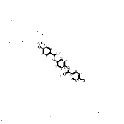 COc1ccc(C(=O)Oc2ccc(OC(=O)c3ccc(O)cc3)cc2)cc1